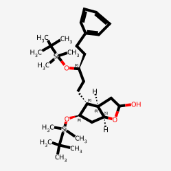 CC(C)(C)[Si](C)(C)O[C@@H](CCc1ccccc1)CC[C@@H]1[C@H]2CC(O)O[C@H]2C[C@H]1O[Si](C)(C)C(C)(C)C